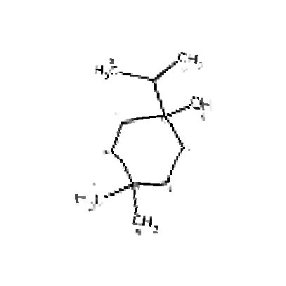 CC(C)C1(O)CCC(C)(C)CC1